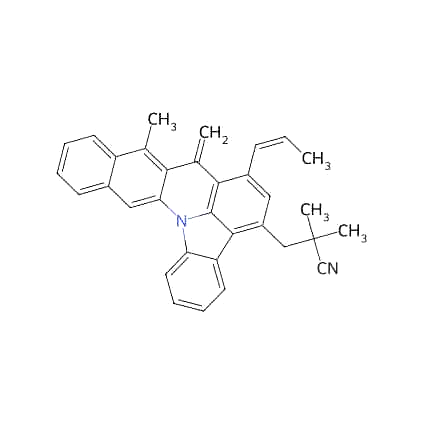 C=c1c2c(C)c3ccccc3cc2n2c3ccccc3c3c(CC(C)(C)C#N)cc(/C=C\C)c1c32